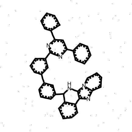 c1ccc(-c2cc(-c3ccccc3)nc(-c3cccc(-c4cccc(C5Nc6c(nc7ccccn67)-c6ccccc65)c4)c3)n2)cc1